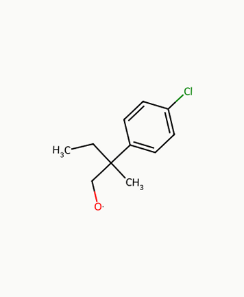 CCC(C)(C[O])c1ccc(Cl)cc1